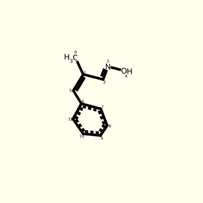 CC(C=NO)=Cc1ccccc1